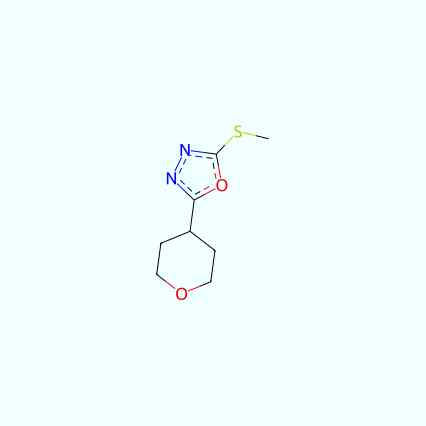 CSc1nnc(C2CCOCC2)o1